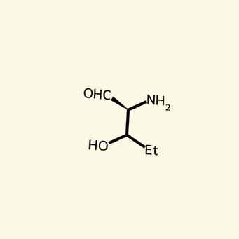 CCC(O)[C@H](N)C=O